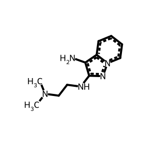 CN(C)CCNc1nn2ccccc2c1N